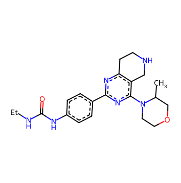 CCNC(=O)Nc1ccc(-c2nc3c(c(N4CCOCC4C)n2)CNCC3)cc1